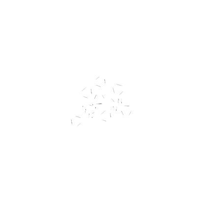 c1ccc(-c2cccc(-c3nc(-c4ccccc4)nc(-c4cccc(-n5c6ccccc6n6c7ccccc7c(-c7ccccc7)c56)c4)n3)c2)cc1